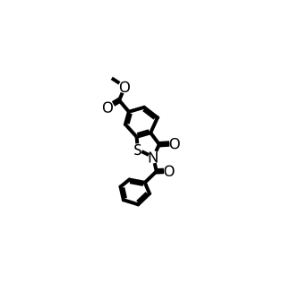 COC(=O)c1ccc2c(=O)n(C(=O)c3ccccc3)sc2c1